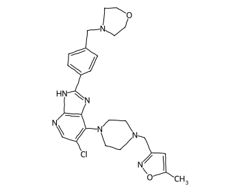 Cc1cc(CN2CCN(c3c(Cl)cnc4[nH]c(-c5ccc(CN6CCOCC6)cc5)nc34)CC2)no1